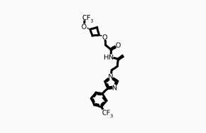 C=C(CCn1cnc(-c2cccc(C(F)(F)F)c2)c1)NC(=O)CO[C@H]1C[C@@H](OC(F)(F)F)C1